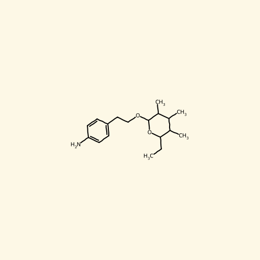 CCC1OC(OCCc2ccc(N)cc2)C(C)C(C)C1C